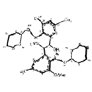 COc1cc(C)nc(C(O)C(O)c2nc(C)cc(Cl)c2COC2CCCCO2)c1COC1CCCCO1